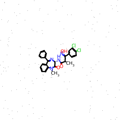 CC(C(=O)N[C@H]1N=C(c2ccccc2)c2ccccc2N(C)C1=O)C(=NO)c1ccc(Cl)c(Cl)c1